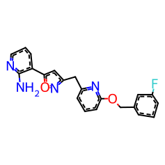 Nc1ncccc1-c1cc(Cc2cccc(OCc3cccc(F)c3)n2)no1